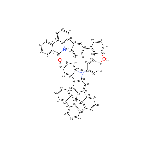 O=c1c2ccccc2c2cccc3c4cc(-c5cccc6oc7ccc(-n8c9ccccc9c9cc%10c(cc98)-c8ccccc8C%108c9ccccc9-c9ccccc98)cc7c56)ccc4n1c23